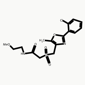 COCCNC(=O)CS(=O)(=O)Cc1nc(-c2ccccc2Cl)oc1C